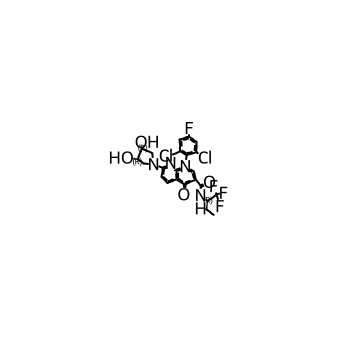 CC[C@@H](NC(=O)c1cn(-c2c(Cl)cc(F)cc2Cl)c2nc(N3C[C@@H](O)[C@H](O)C3)ccc2c1=O)C(F)(F)F